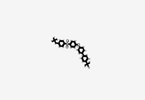 CC(C)(C)Cc1ccc(S(=O)(=O)c2ccc(Oc3ccc(-c4ccc(C(C)(C)C)cc4)cc3)cc2)cc1